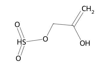 C=C(O)CO[SH](=O)=O